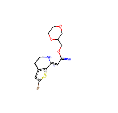 N=C(/C=C1\NCCc2cc(Br)sc21)OCC1COCCO1